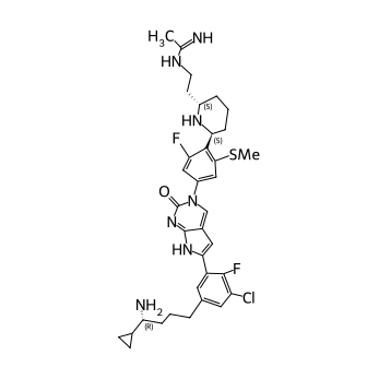 CSc1cc(-n2cc3cc(-c4cc(CCC[C@@H](N)C5CC5)cc(Cl)c4F)[nH]c3nc2=O)cc(F)c1[C@@H]1CCC[C@@H](CCNC(C)=N)N1